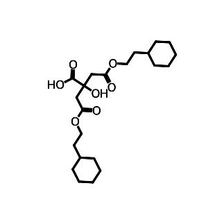 O=C(CC(O)(CC(=O)OCCC1CCCCC1)C(=O)O)OCCC1CCCCC1